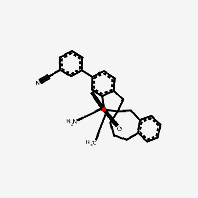 CN1C(=O)C2(N=C1N)c1cc(-c3cccc(C#N)c3)ccc1CC21CCCc2ccccc2C1